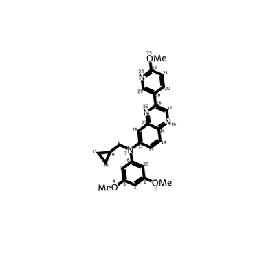 COc1cc(OC)cc(N(CC2CC2)c2ccc3ncc(-c4ccc(OC)nc4)nc3c2)c1